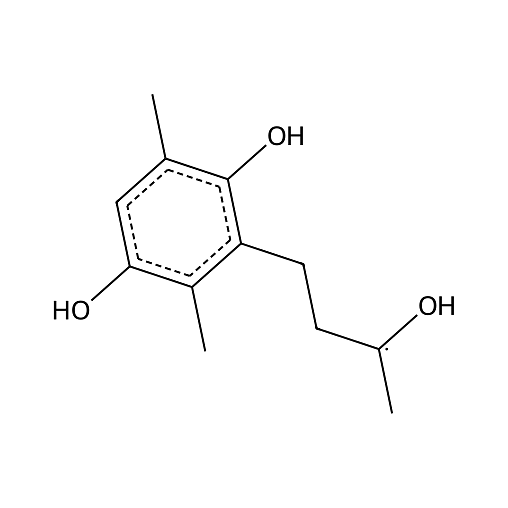 C[C](O)CCc1c(C)c(O)cc(C)c1O